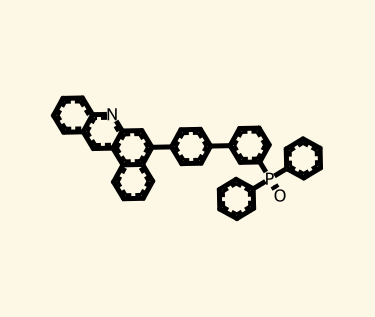 O=P(c1ccccc1)(c1ccccc1)c1cccc(-c2ccc(-c3cc4nc5ccccc5cc4c4ccccc34)cc2)c1